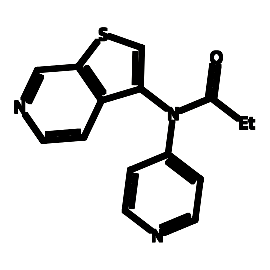 CCC(=O)N(c1ccncc1)c1csc2cnccc12